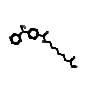 CNC(=O)CCCCCCNC(=O)c1ccc(N(C)c2cnccn2)cc1